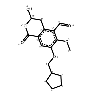 COc1c(OCC2CCCC2)cc2c(c1C=O)CC(O)OC2=O